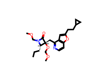 CCC[C@@H]1N(COC)C(=O)[C@]1(Cc1nccc2oc(CCC3CC3)cc12)OCOC